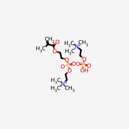 C=C(C)C(=O)OCCOP(=O)([O-])OCC[N+](C)(C)C.C[N+](C)(C)CCOP(=O)([O-])O